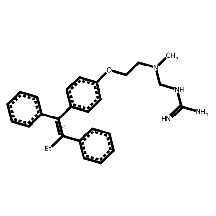 CC/C(=C(\c1ccccc1)c1ccc(OCCN(C)CNC(=N)N)cc1)c1ccccc1